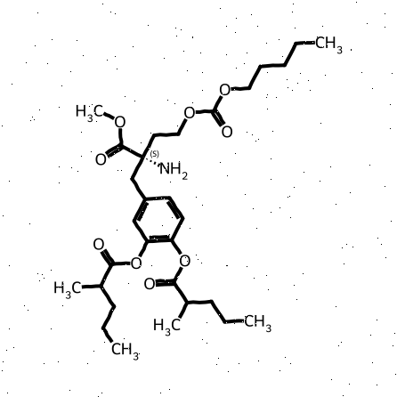 CCCCCOC(=O)OCC[C@@](N)(Cc1ccc(OC(=O)C(C)CCC)c(OC(=O)C(C)CCC)c1)C(=O)OC